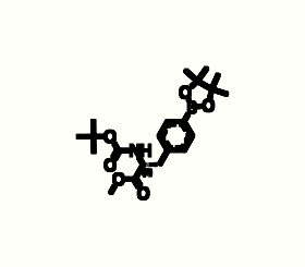 COC(=O)[C@@H](Cc1ccc(B2OC(C)(C)C(C)(C)O2)cc1)NC(=O)OC(C)(C)C